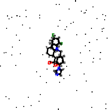 O=C(O)CC1CCCc2c1n(Cc1ccc(-n3ccnc3)cc1)c1c(F)cc(F)cc21